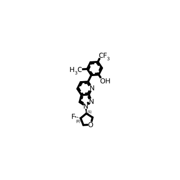 Cc1cc(C(F)(F)F)cc(O)c1-c1ccc2cn([C@H]3COC[C@@H]3F)nc2n1